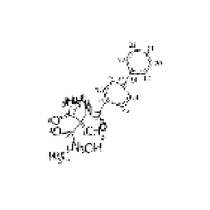 CN(O)C(=O)C(C)(C(N)=O)N(C)C(=O)c1ccc(-c2ccccc2)cc1